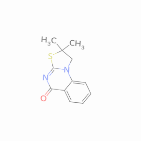 CC1(C)Cn2c(nc(=O)c3ccccc32)S1